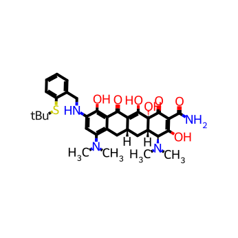 CN(C)c1cc(NCc2ccccc2SC(C)(C)C)c(O)c2c1C[C@H]1C[C@H]3[C@H](N(C)C)C(O)=C(C(N)=O)C(=O)[C@]3(O)C(O)=C1C2=O